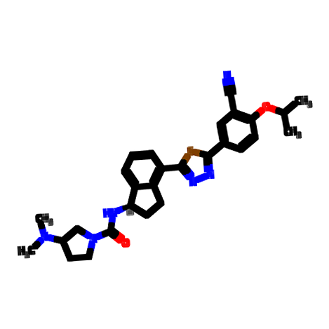 CC(C)Oc1ccc(-c2nnc(-c3cccc4c3CC[C@H]4NC(=O)N3CCC(N(C)C)C3)s2)cc1C#N